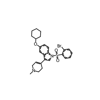 CN1CC=C(c2cn(S(=O)(=O)c3ccccc3Br)c3ccc(OC4CCCCC4)cc23)CC1